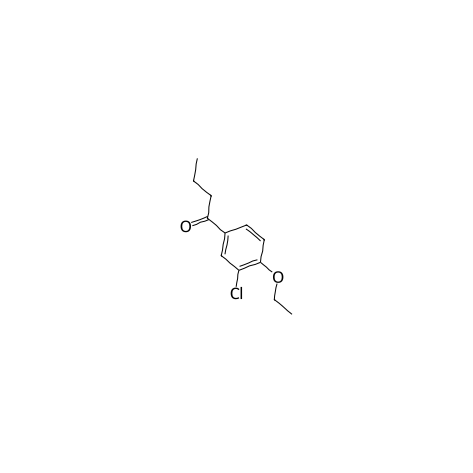 CCCC(=O)c1ccc(OCC)c(Cl)c1